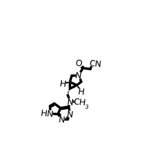 CN(C[C@@H]1[C@@H]2CN(C(=O)CC#N)C[C@@H]21)c1ncnc2[nH]ccc12